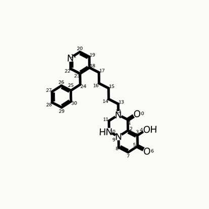 O=C1c2c(O)c(=O)ccn2NCN1CCCCCc1ccncc1Cc1ccccc1